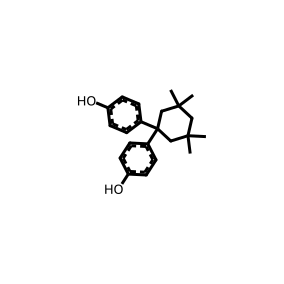 CC1(C)CC(C)(C)CC(c2ccc(O)cc2)(c2ccc(O)cc2)C1